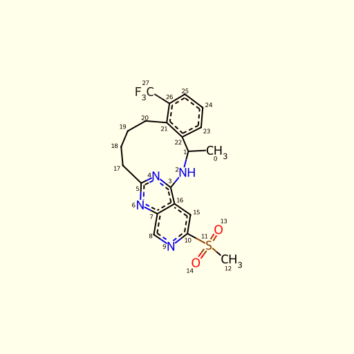 CC1Nc2nc(nc3cnc(S(C)(=O)=O)cc23)CCCCc2c1cccc2C(F)(F)F